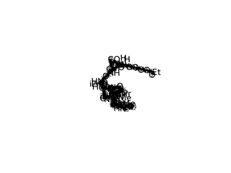 CCC(=O)CCOCCOCCOCCOCCNC(=O)CN1CCN(CC(=O)O)CCN(CC(=O)NCCOCCC(=O)N[C@H](C(=O)N[C@@H](CCCNC(N)=O)C(=O)Nc2ccc(COC(=O)N(C)[C@H](C(=O)N[C@H](C(=O)N(C)[C@@H]([C@@H](C)CC)[C@@H](CC(=O)N3CCC[C@H]3[C@H](OC)[C@@H](C)C(=O)N[C@H](C)[C@@H](O)c3ccccc3)OC)C(C)C)C(C)C)cc2)C(C)C)CC1